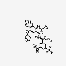 COc1cc2nc(C3CC3)nc(N[C@H](C)c3cc([N+](=O)[O-])cc(C(F)(F)F)c3)c2cc1OC1CCOC1